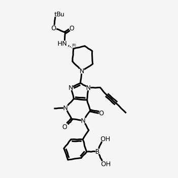 CC#CCn1c(N2CCC[C@@H](NC(=O)OC(C)(C)C)C2)nc2c1c(=O)n(Cc1ccccc1B(O)O)c(=O)n2C